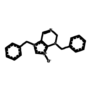 [O-][n+]1cn(Cc2ccccc2)c2c1N(Cc1ccccc1)CN=C2